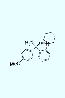 CCCC[C@](N)(c1ccc(OC)cc1)c1ccccc1N1CCCCC1